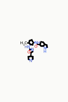 Cc1ccc(NC(=O)c2ccc3cc[nH]c3c2)cc1Nc1ncc(-c2ccncc2)o1